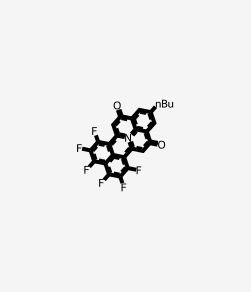 CCCCc1cc2c(=O)cc3c4c(F)c(F)c(F)c5c(F)c(F)c(F)c(c54)c4cc(=O)c(c1)c2n34